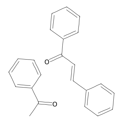 CC(=O)c1ccccc1.O=C(C=Cc1ccccc1)c1ccccc1